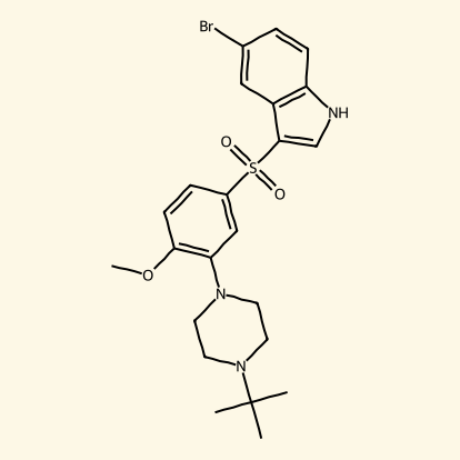 COc1ccc(S(=O)(=O)c2c[nH]c3ccc(Br)cc23)cc1N1CCN(C(C)(C)C)CC1